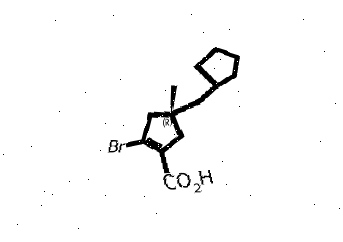 C[C@]1(CC2CCCC2)CC(Br)=C(C(=O)O)C1